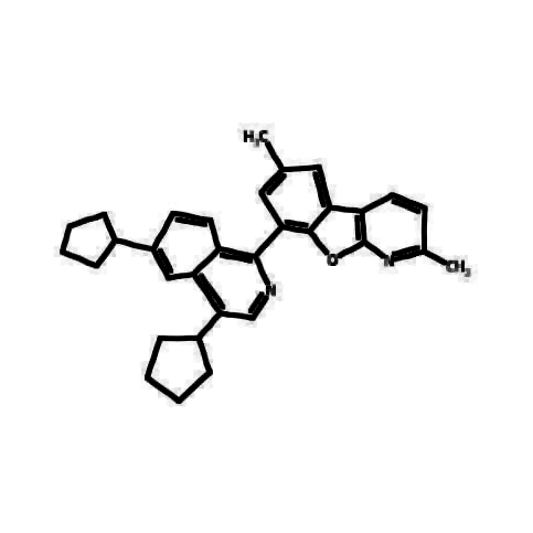 Cc1cc(-c2ncc(C3CCCC3)c3cc(C4CCCC4)ccc23)c2oc3nc(C)ccc3c2c1